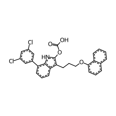 O=C(O)Oc1[nH]c2c(-c3cc(Cl)cc(Cl)c3)cccc2c1CCCOc1cccc2ccccc12